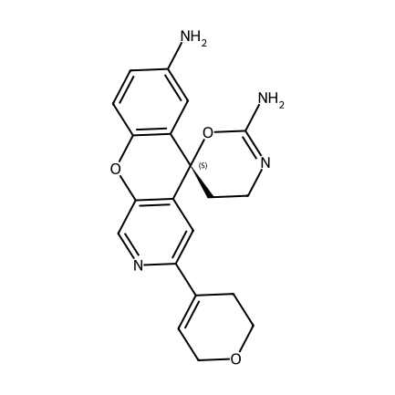 NC1=NCC[C@]2(O1)c1cc(N)ccc1Oc1cnc(C3=CCOCC3)cc12